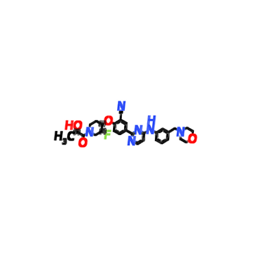 C[C@H](O)C(=O)N1CC[C@H](Oc2ccc(-c3nccc(Nc4cccc(CN5CCOCC5)c4)n3)cc2C#N)[C@H](F)C1